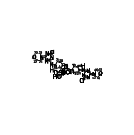 O=S(=O)(O)C1(S(=O)(=O)O)C=C(Nc2nc(Cl)nc(N3CCOCC3)n2)C=CC1C=Cc1ccc(Nc2nc(Cl)nc(N3CCOCC3)n2)cc1